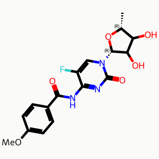 COc1ccc(C(=O)Nc2nc(=O)n([C@@H]3O[C@H](C)C(O)C3O)cc2F)cc1